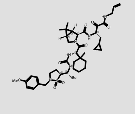 C=CCNC(=O)C(=O)[C@H](CC1CC1)NC(=O)[C@@H]1[C@@H]2[C@H](CN1C(=O)[C@@H](NC(=O)N[C@@H]([C@@H]1CCN(Cc3ccc(OC)cc3)S1(=O)=O)C(C)(C)C)C1(C)CCCCC1)C2(C)C